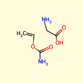 C=COC(N)=O.NCC(=O)O